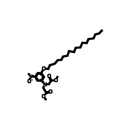 CCCCCCCCCCCCCCCCCCOc1cc(N(CC(=O)OC)CC(=O)OC)cc([S+](C)[O-])c1